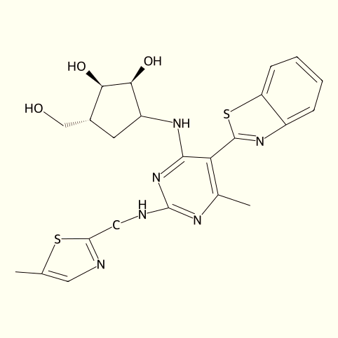 Cc1cnc(CNc2nc(C)c(-c3nc4ccccc4s3)c(NC3C[C@H](CO)[C@@H](O)[C@H]3O)n2)s1